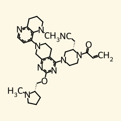 C=CC(=O)N1CCN(c2nc(OC[C@@H]3CCCN3C)nc3c2CCN(c2ccnc4c2N(C)CCC4)C3)C[C@@H]1CC#N